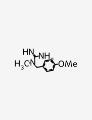 COc1ccc(CN(C)C(=N)N)cc1